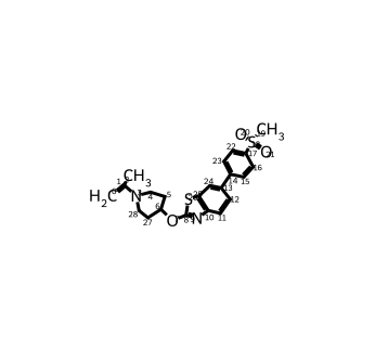 C=C(C)N1CCC(Oc2nc3ccc(-c4ccc(S(C)(=O)=O)cc4)cc3s2)CC1